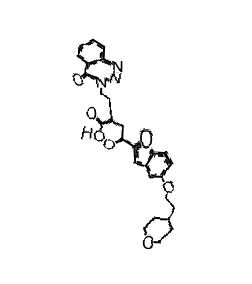 O=C(CC(CCn1nnc2ccccc2c1=O)C(=O)O)c1cc2cc(OCCC3CCOCC3)ccc2o1